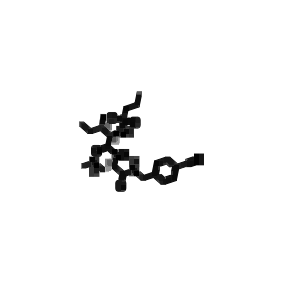 CCCS(=O)(=O)N[C@@H](C(=O)N[C@@H](CNC)C(=O)NCc1ccc(C#N)cc1)[C@H](C)CC